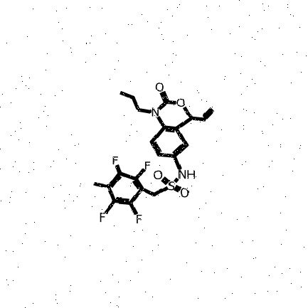 C=CC1OC(=O)N(CCC)c2ccc(NS(=O)(=O)Cc3c(F)c(F)c(C)c(F)c3F)cc21